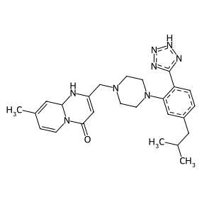 CC1=CC2NC(CN3CCN(c4cc(CC(C)C)ccc4-c4nn[nH]n4)CC3)=CC(=O)N2C=C1